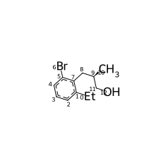 CCc1cccc(Br)c1C[C@@H](C)CO